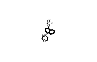 FC(F)(F)COc1ccc([SH]2CCOCC2)c2ccccc12